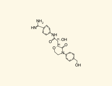 N=C(N)c1ccc(NC(=O)[C@H](O)[C@H]2OCCN(c3ccc(CO)cc3)C2=O)cc1